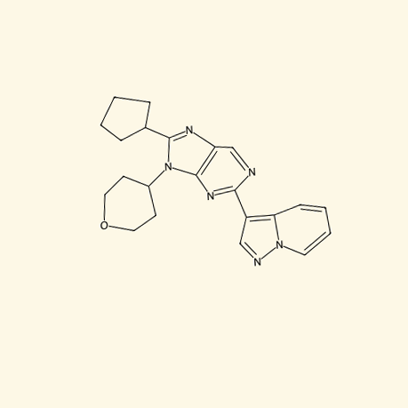 c1ccn2ncc(-c3ncc4nc(C5CCCC5)n(C5CCOCC5)c4n3)c2c1